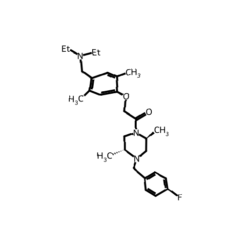 CCN(CC)Cc1cc(C)c(OCC(=O)N2C[C@@H](C)N(Cc3ccc(F)cc3)C[C@@H]2C)cc1C